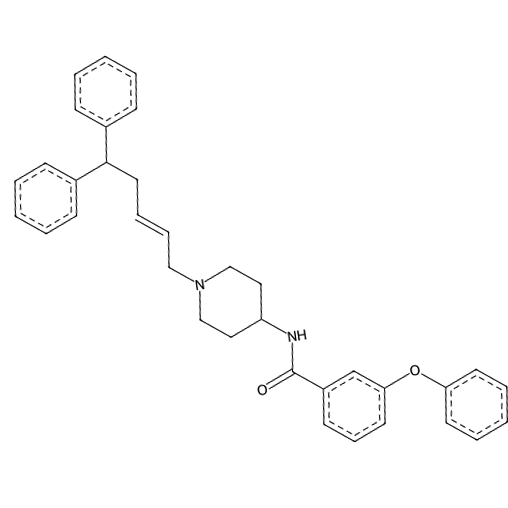 O=C(NC1CCN(CC=CCC(c2ccccc2)c2ccccc2)CC1)c1cccc(Oc2ccccc2)c1